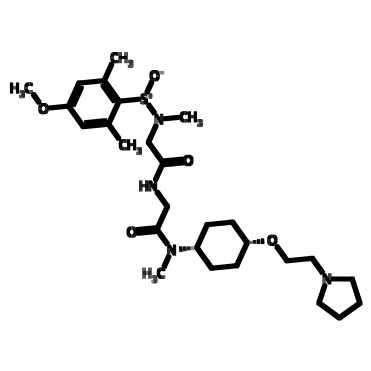 COc1cc(C)c([S+]([O-])N(C)CC(=O)NCC(=O)N(C)[C@H]2CC[C@@H](OCCN3CCCC3)CC2)c(C)c1